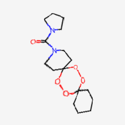 O=C(N1CCCC1)N1CCC2(CC1)OOC1(CCCCC1)OO2